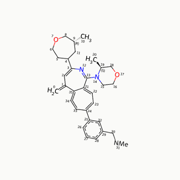 C=C1C=C(C2CCOC[C@H](C)C2)N=C(N2CCOC[C@@H]2C)C2=CC=C(c3cccc(CNC)c3)C=C=C12